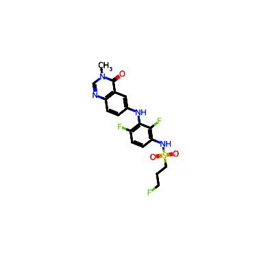 Cn1cnc2ccc(Nc3c(F)ccc(NS(=O)(=O)CCCF)c3F)cc2c1=O